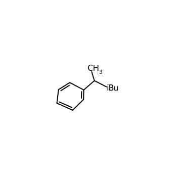 CCC(C)C(C)c1ccccc1